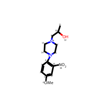 COc1ccc(N2CCN(CC(C)O)CC2)c([N+](=O)[O-])c1